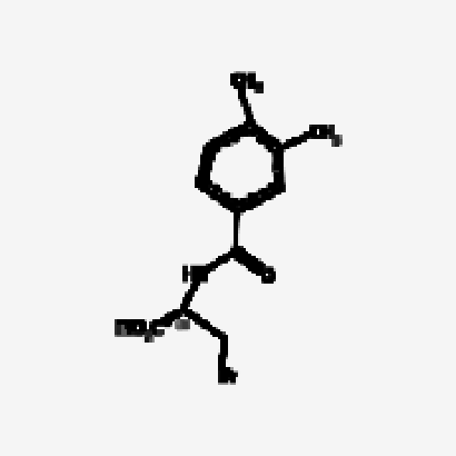 CCOC(=O)[C@H](CC(C)C)NC(=O)c1ccc(C)c(C)c1